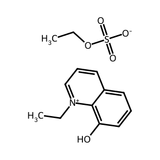 CCOS(=O)(=O)[O-].CC[n+]1cccc2cccc(O)c21